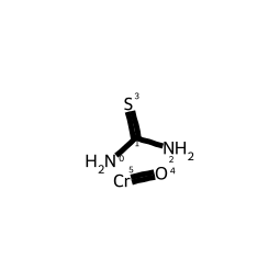 NC(N)=S.[O]=[Cr]